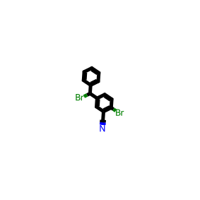 N#Cc1cc(C(Br)c2ccccc2)ccc1Br